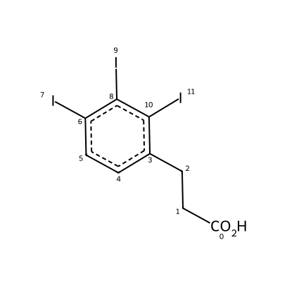 O=C(O)CCc1ccc(I)c(I)c1I